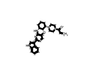 C=CC(=O)N1CCN([C@H]2CCC[C@@H](Nc3nc(-c4c[nH]c5ccccc45)ncc3Cl)C2)CC1